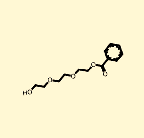 O=C(OCCOCCOCCO)c1ccccc1